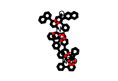 c1ccc(-c2ccc(-c3ccc(N(c4ccccc4-c4cccc5oc6cc7cc(-c8ccc9sc%10c(N(c%11ccc(-c%12cccc%13ccccc%12%13)cc%11)c%11ccccc%11-c%11cccc%12oc%13cc%14ccccc%14cc%13c%11%12)cccc%10c9c8)ccc7cc6c45)c4cccc5c4sc4ccccc45)cc3)cc2-c2ccccc2)cc1